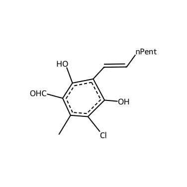 CCCCC/C=C/c1c(O)c(Cl)c(C)c(C=O)c1O